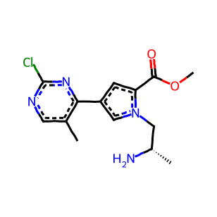 COC(=O)c1cc(-c2nc(Cl)ncc2C)cn1C[C@H](C)N